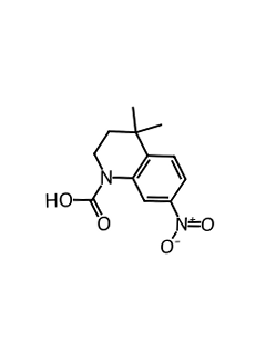 CC1(C)CCN(C(=O)O)c2cc([N+](=O)[O-])ccc21